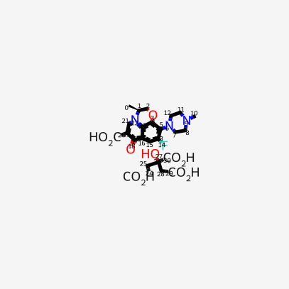 C[C@H]1COc2c(N3CCN(C)CC3)c(F)cc3c(=O)c(C(=O)O)cn1c23.O=C(O)CC(O)(CC(=O)O)C(=O)O